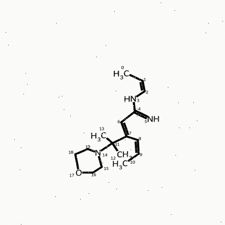 C/C=C\NC(=N)/C=C(\C=C/C)C(C)(C)N1CCOCC1